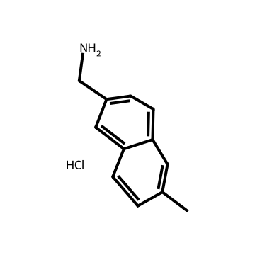 Cc1ccc2cc(CN)ccc2c1.Cl